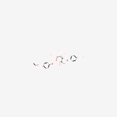 C=CCOc1ccc(C(=O)O[C@@H]2O[C@@H]3CO[C@@H](c4ccc(O)cc4)O[C@H]3[C@H](O)[C@H]2O)cc1